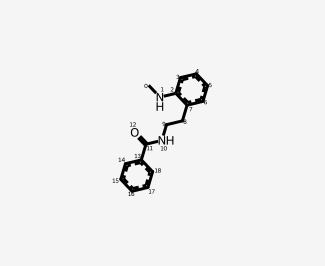 CNc1ccccc1CCNC(=O)c1ccccc1